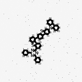 c1ccc(-c2nc(-c3ccccc3)nc(-c3cccc4c3sc3cccc(-c5ccc6c(c5)sc5cc(-n7c8ccccc8c8ccccc87)ccc56)c34)n2)cc1